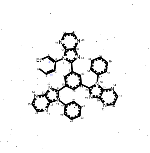 C/C=C\C(=C/CC)n1c(-c2cc(-c3nc4nccnc4n3-c3ccccc3)cc(-c3nc4nccnc4n3-c3ccccc3)c2)nc2nccnc21